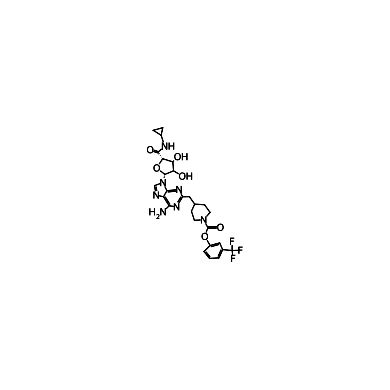 Nc1nc(CC2CCN(C(=O)Oc3cccc(C(F)(F)F)c3)CC2)nc2c1ncn2[C@@H]1O[C@H](C(=O)NC2CC2)C(O)C1O